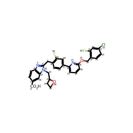 O=C(O)c1ccc2nc(Cc3ccc(-c4cccc(OCc5ccc(Cl)cc5F)n4)cc3F)n(CC3CCO3)c2c1